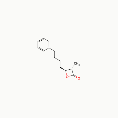 C[C@@H]1C(=O)O[C@H]1CCCCc1ccccc1